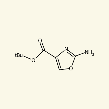 CC(C)(C)OC(=O)c1coc(N)n1